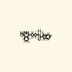 Cn1c(C(=O)N[C@H]2CC3(C2)C[C@H](c2n[nH]c(=O)c4ccccc42)C3)cc2ccccc21